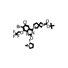 CN1CCC[C@H]1COc1nc(N2CCC3(CN(C(=O)OC(C)(C)C)C3)C2)c2cc(Cl)c(Br)c(OCC(F)(F)F)c2n1